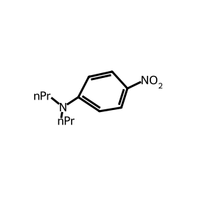 CCCN(CCC)c1ccc([N+](=O)[O-])cc1